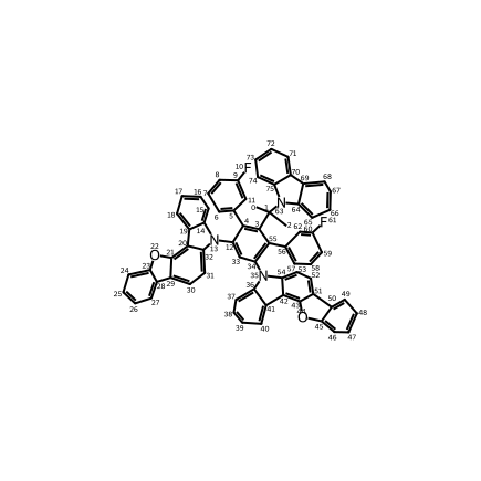 CC(C)(c1c(-c2cccc(F)c2)c(-n2c3ccccc3c3c4oc5ccccc5c4ccc32)cc(-n2c3ccccc3c3c4oc5ccccc5c4ccc32)c1-c1cccc(F)c1)n1c2ccccc2c2ccccc21